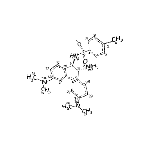 Cc1ccc(S(=O)(=O)N[C@H](c2ccc(N(C)C)cc2)[C@H](N)c2ccc(N(C)C)cc2)cc1